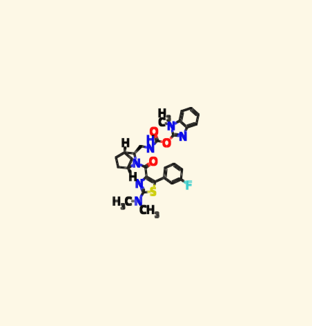 CN(C)c1nc(C(=O)N2[C@@H]3CC[C@@H](C3)[C@H]2CNC(=O)Oc2nc3ccccc3n2C)c(-c2cccc(F)c2)s1